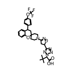 CC(C)(C)C(C(=O)O)n1nnc(C2CC(N3CCC4(CC3)CC(c3ccc(OC(F)(F)F)cc3)c3ccccc3O4)=NO2)n1